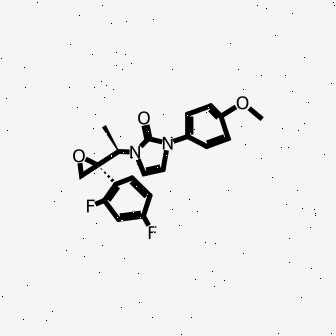 COc1ccc(-n2ccn([C@H](C)[C@@]3(c4ccc(F)cc4F)CO3)c2=O)cc1